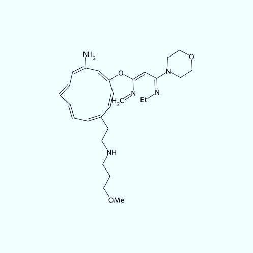 C=N/C(=C\C(=N/CC)N1CCOCC1)OC1=C/C(N)=C\C=C\C=C\C=C(CCNCCCOC)/C=C\1